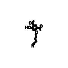 CC(=O)c1cc(C(C)=O)c(OCCCCC#N)cc1O